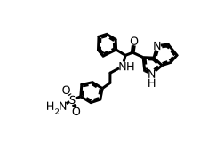 NS(=O)(=O)c1ccc(CCNC(C(=O)c2c[nH]c3cccnc23)c2ccccc2)cc1